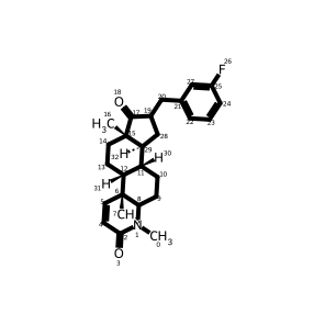 CN1C(=O)C=C[C@@]2(C)C1CC[C@@H]1[C@H]2CC[C@]2(C)C(=O)C(Cc3cccc(F)c3)C[C@@H]12